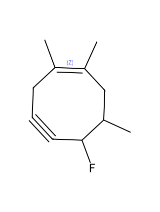 C/C1=C(\C)CC(C)C(F)C#CC1